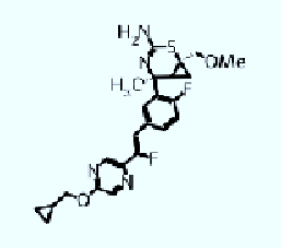 COC[C@]12CC1[C@@](C)(c1cc(/C=C(\F)c3cnc(OCC4CC4)cn3)ccc1F)N=C(N)S2